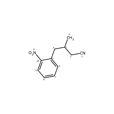 CC(CC#N)Cc1ccccc1[N+](=O)[O-]